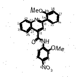 COc1cc([N+](=O)[O-])ccc1NC(=O)c1cc(-c2ccccc2OC)nc2ccccc12